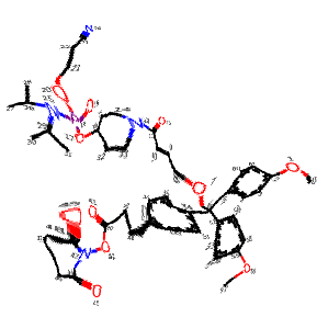 COc1ccc(C(OCCCC(=O)N2CCC(OP(=O)(OCCC#N)N(C(C)C)C(C)C)CC2)(c2ccc(CCC(=O)ON3C(=O)CCC3=O)cc2)c2ccc(OC)cc2)cc1